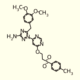 COc1ccc(Cc2nc(N)nn2-c2cc(OCCS(=O)(=O)c3ccc(C)cc3)ncn2)cc1OC